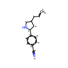 C=CCC1CNC(c2ccc(C#N)cc2)C1